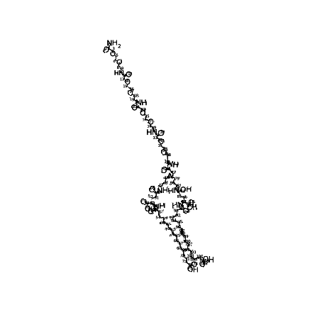 NC(=O)COCCOCCNC(=O)COCCOCCNC(=O)COCCOCCNC(=O)COCCOCCNC(=O)CN(CCCNC(=O)CC[C@H](NC(=O)CCCCCCCCCCCCCCCCC(=O)O)C(=O)O)CCCNC(O)CC[C@H](NC(=O)CCCCCCCCCCCCCCCCC(=O)O)C(=O)O